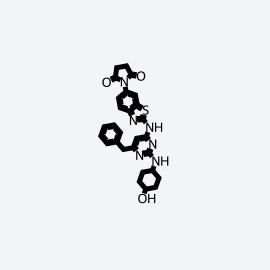 O=C1CCC(=O)N1c1ccc2nc(Nc3cc(Cc4ccccc4)nc(NC4CCC(O)CC4)n3)sc2c1